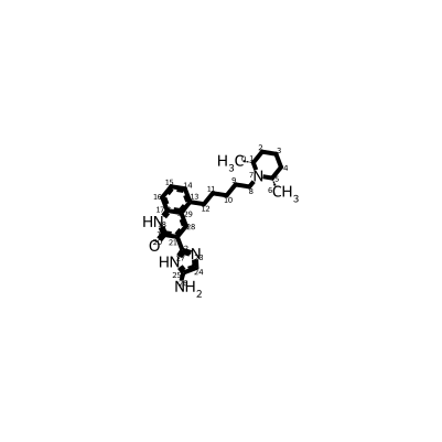 C[C@@H]1CCC[C@H](C)N1CCCCCc1cccc2[nH]c(=O)c(-c3ncc(N)[nH]3)cc12